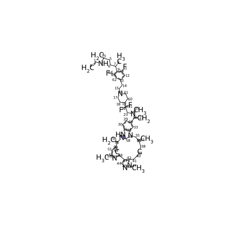 C=CNC(=C)CCC(C)c1c(F)cc(CCN2CCC(C(F)(F)CN(C)C(=C)c3ccc4c(c3)N3C[C@H](C)CCCCc5c(cnn5C)-c5cc(cc(C)n5)C(=C)/N=C/3N4)CC2)cc1F